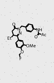 CCC1CC(=O)N(Cc2ccc(NC(=O)C(C)=O)cc2)N=C1c1ccc(OCF)c(OC)c1